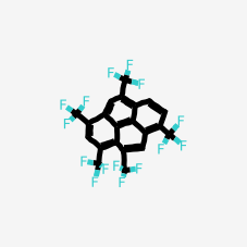 FC(F)(F)c1cc2c(C(F)(F)F)cc(C(F)(F)F)c3c(C(F)(F)F)cc4c(C(F)(F)F)ccc1c4c23